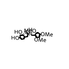 COc1cc(OC)c(CNC(Cc2ccc(O)cc2)C(=O)O)c(OC)c1